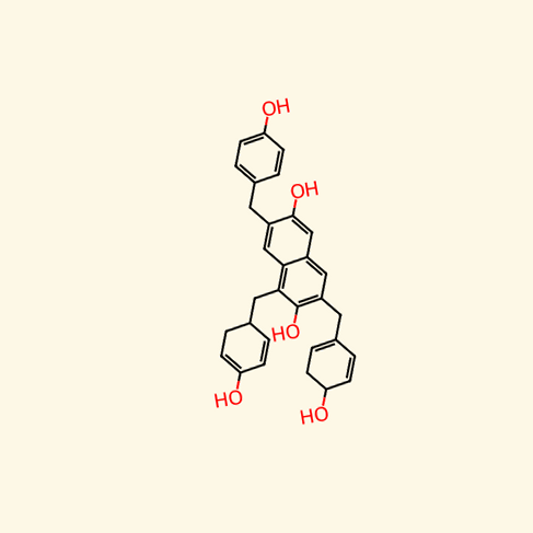 OC1=CCC(Cc2c(O)c(CC3=CCC(O)C=C3)cc3cc(O)c(Cc4ccc(O)cc4)cc23)C=C1